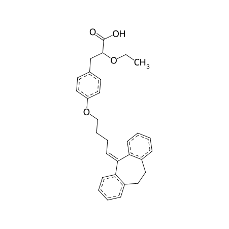 CCOC(Cc1ccc(OCCCC=C2c3ccccc3CCc3ccccc32)cc1)C(=O)O